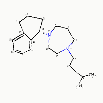 CC(C)CCN1CCCN([C@H]2CCCc3ccccc32)CC1